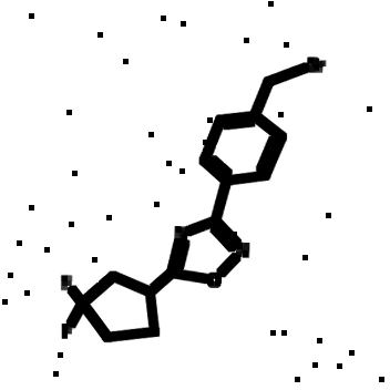 FC1(F)CCC(c2nc(-c3ccc(CBr)cc3)no2)C1